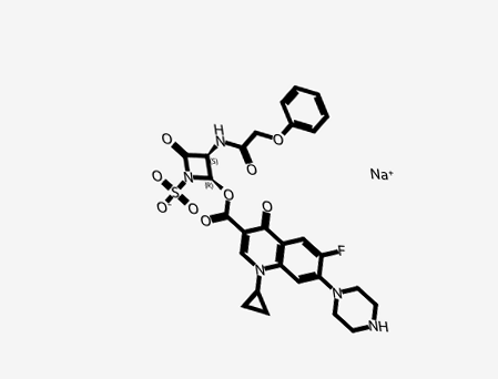 O=C(COc1ccccc1)N[C@@H]1C(=O)N(S(=O)(=O)[O-])[C@@H]1OC(=O)c1cn(C2CC2)c2cc(N3CCNCC3)c(F)cc2c1=O.[Na+]